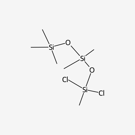 C[Si](C)(C)O[Si](C)(C)O[Si](C)(Cl)Cl